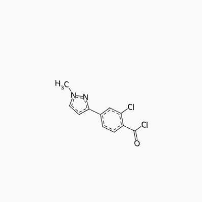 Cn1ccc(-c2ccc(C(=O)Cl)c(Cl)c2)n1